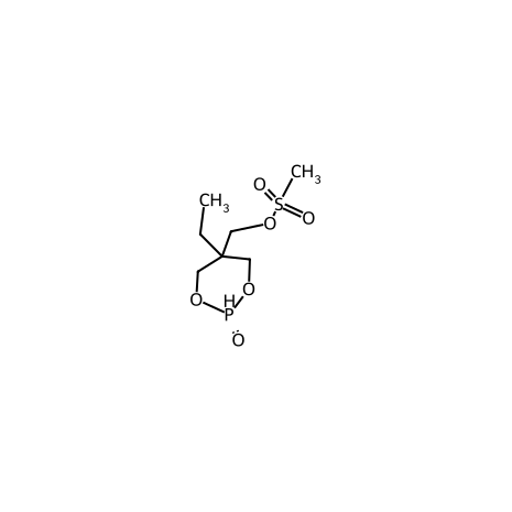 CCC1(COS(C)(=O)=O)CO[PH](=O)OC1